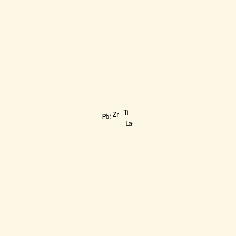 [La].[Pb].[Ti].[Zr]